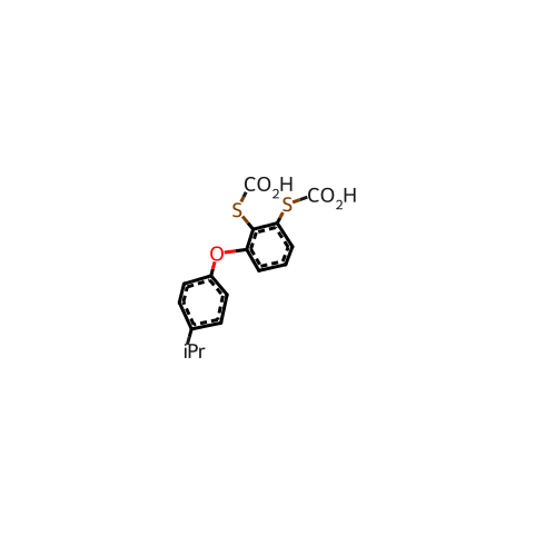 CC(C)c1ccc(Oc2cccc(SC(=O)O)c2SC(=O)O)cc1